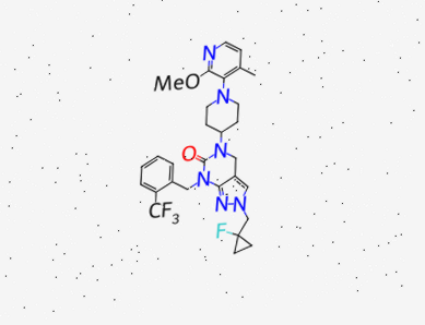 COc1nccc(C)c1N1CCC(N2Cc3cn(CC4(F)CC4)nc3N(Cc3ccccc3C(F)(F)F)C2=O)CC1